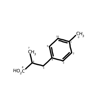 Cc1ccc(CC(C)C(=O)O)cc1